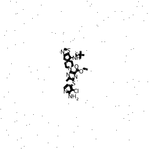 CCOC(=O)c1nc(Sc2ccnc(N)c2Cl)c(C)nc1N1CCC2(CC1)Cc1ncsc1[C@H]2NSC(C)(C)C